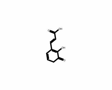 O=C(O)C=CC1=C(O)C(=O)CC=C1